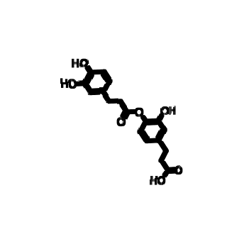 O=C(O)CCc1ccc(OC(=O)CCc2ccc(O)c(O)c2)c(O)c1